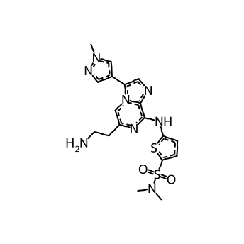 CN(C)S(=O)(=O)c1ccc(Nc2nc(CCN)cn3c(-c4cnn(C)c4)cnc23)s1